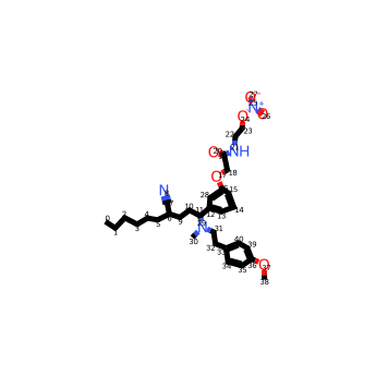 CCCCCCC(C#N)CCC(c1cccc(OCC(=O)NCCO[N+](=O)[O-])c1)N(C)CCc1ccc(OC)cc1